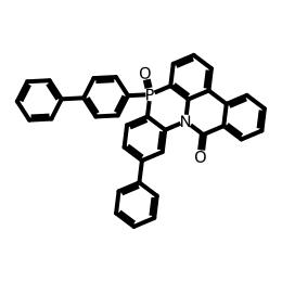 O=c1c2ccccc2c2cccc3c2n1-c1cc(-c2ccccc2)ccc1P3(=O)c1ccc(-c2ccccc2)cc1